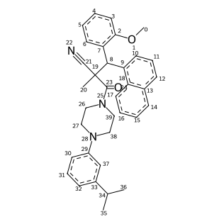 COc1ccccc1C(c1cccc2ccccc12)C(C)(C#N)C(=O)N1CCN(c2cccc(C(C)C)c2)CC1